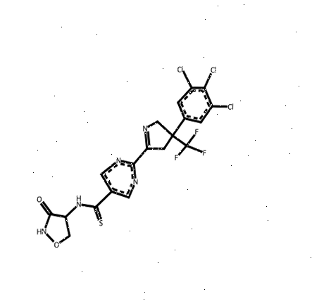 O=C1NOCC1NC(=S)c1cnc(C2=NCC(c3cc(Cl)c(Cl)c(Cl)c3)(C(F)(F)F)C2)nc1